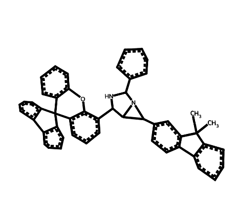 CC1(C)c2ccccc2-c2ccc(C3C4C(c5cccc6c5Oc5ccccc5C65c6ccccc6-c6ccccc65)NC(c5ccccc5)N34)cc21